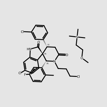 COCC[Si](C)(C)C.Cc1ccc(F)cc1[C@H]1N(CCCCl)C(=O)C[C@@H](c2cccc(Cl)c2)[C@]12C(=O)Nc1cc(Cl)ccc12